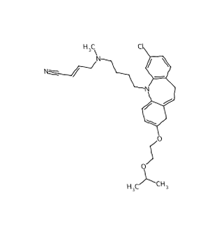 CC(C)OCCOC1=CC=C2C(=CCc3ccc(Cl)cc3N2CCCCN(C)C/C=C/C#N)C1